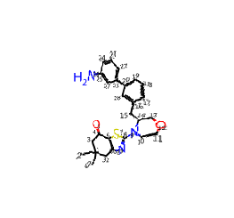 CC1(C)CC(=O)c2sc(N3CCOC[C@@H]3Cc3cccc(-c4cccc(N)c4)c3)nc2C1